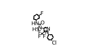 O=C(Nc1cccc(F)c1)N(S)c1cnn(-c2ccc(Cl)cc2)c1C(F)(F)F